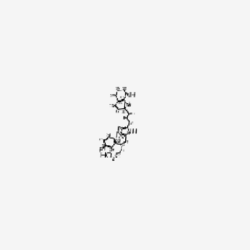 O=C(O)CC(Cc1nnc(CCCc2ccc3c(n2)NCCC3)[nH]1)c1cccc(F)c1